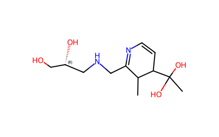 CC1C(CNC[C@@H](O)CO)=NC=CC1C(C)(O)O